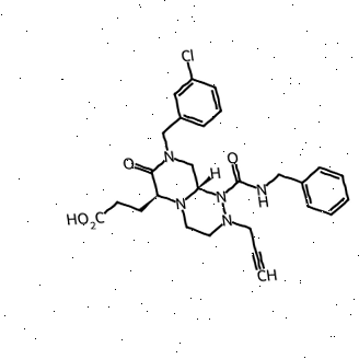 C#CCN1CCN2[C@@H](CCC(=O)O)C(=O)N(Cc3cccc(Cl)c3)C[C@@H]2N1C(=O)NCc1ccccc1